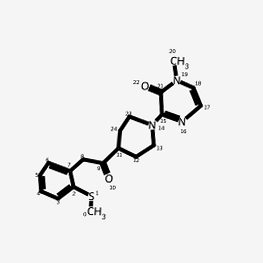 CSc1ccccc1CC(=O)C1CCN(c2nccn(C)c2=O)CC1